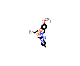 Cc1ccn2c(C)c(N(Cc3ccc(OC(F)(F)F)cc3)S(=O)(=O)CCBr)nc2c1